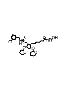 O=C(CCCC=CC[C@@H]1[C@@H](COC(=S)NCc2cccc(Cl)c2)[C@H](OC2CCCCO2)C[C@@H]1OC1CCCCO1)NCCO